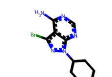 Nc1ncnc2c1c(Br)nn2C1CCCCC1